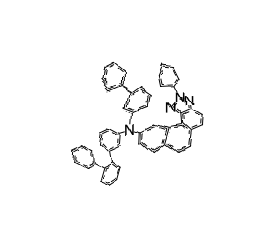 c1ccc(-c2cccc(N(c3cccc(-c4ccccc4-c4ccccc4)c3)c3ccc4ccc5ccc6nn(-c7ccccc7)nc6c5c4c3)c2)cc1